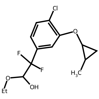 CCOC(O)C(F)(F)c1ccc(Cl)c(OC2CC2C)c1